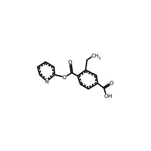 CCc1cc(C(=O)O)ccc1C(=O)Oc1ccccn1